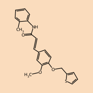 COc1cc(/C=C/C(=O)Nc2ccccc2C)ccc1OCc1cccs1